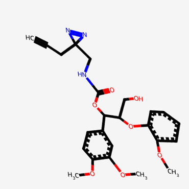 C#CCC1(CNC(=O)OC(c2ccc(OC)c(OC)c2)C(CO)Oc2ccccc2OC)N=N1